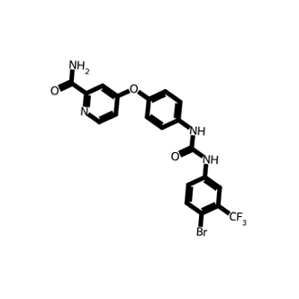 NC(=O)c1cc(Oc2ccc(NC(=O)Nc3ccc(Br)c(C(F)(F)F)c3)cc2)ccn1